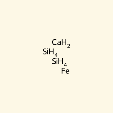 [CaH2].[Fe].[SiH4].[SiH4]